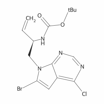 C=C[C@H](Cn1c(Br)cc2c(Cl)ncnc21)NC(=O)OC(C)(C)C